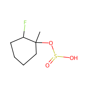 CC1(OS(=O)O)CCCCC1F